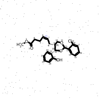 COC(=O)CC/C=C\C[C@@H]1COC(c2ccccc2Cl)O[C@@H]1c1ccccc1O